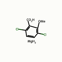 COc1c(Cl)ccc(Cl)c1C(=O)O.[MgH2]